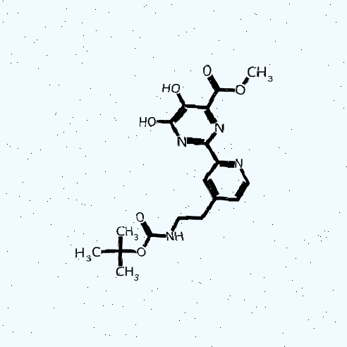 COC(=O)c1nc(-c2cc(CCNC(=O)OC(C)(C)C)ccn2)nc(O)c1O